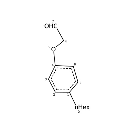 CCCCCCc1ccc(OC[C]=O)cc1